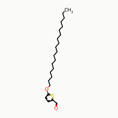 CCCCCCCCCCCCCCCCCCCOc1ccc(C=O)s1